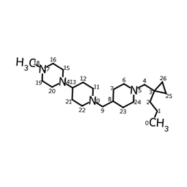 CCCC1(CN2CCC(CN3CCC(N4CCN(C)CC4)CC3)CC2)CC1